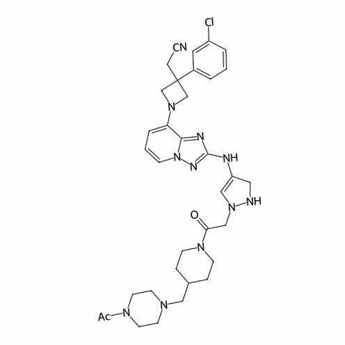 CC(=O)N1CCN(CC2CCN(C(=O)CN3C=C(Nc4nc5c(N6CC(CC#N)(c7cccc(Cl)c7)C6)cccn5n4)CN3)CC2)CC1